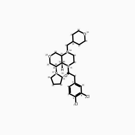 O=C(Cc1ccc(Cl)c(Cl)c1)N1CCN(CC2CCOCC2)C2COC[C@H](N3CCCC3)[C@H]21